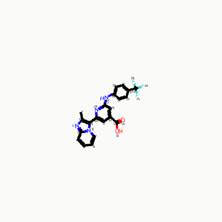 Cc1nc2ccccn2c1-c1cc(C(=O)O)cc(Nc2ccc(C(F)(F)F)cc2)n1